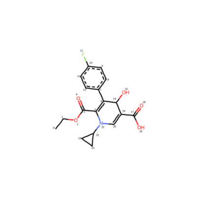 CCOC(=O)C1=C(c2ccc(F)cc2)C(O)C(C(=O)O)=CN1C1CC1